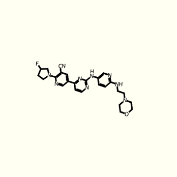 N#Cc1cc(-c2ccnc(Nc3ccc(NCCN4CCOCC4)nc3)n2)cnc1N1CCC(F)C1